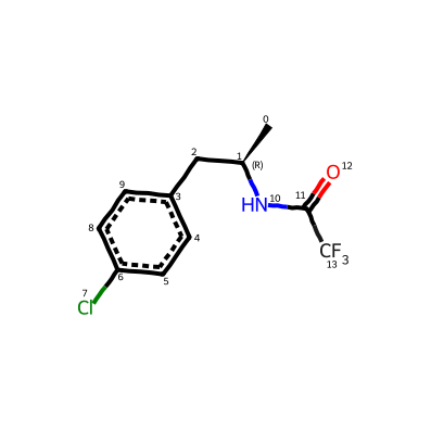 C[C@H](Cc1ccc(Cl)cc1)NC(=O)C(F)(F)F